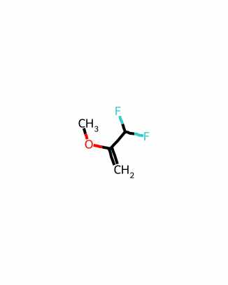 C=C(OC)C(F)F